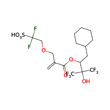 C=C(COCC(F)(F)S(=O)(=O)O)C(=O)OC(CC1CCCCC1)C(O)(C(F)(F)F)C(F)(F)F